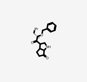 CC(C)C[C@H](OCc1ccccc1)C(=O)C1CNC2C(=O)CCC12